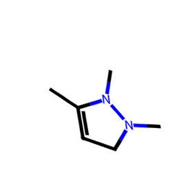 CC1=CCN(C)N1C